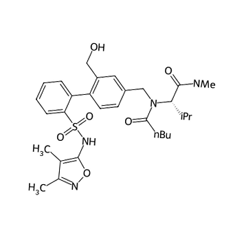 CCCCC(=O)N(Cc1ccc(-c2ccccc2S(=O)(=O)Nc2onc(C)c2C)c(CO)c1)[C@H](C(=O)NC)C(C)C